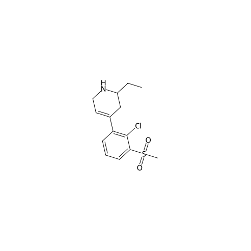 CCC1CC(c2cccc(S(C)(=O)=O)c2Cl)=CCN1